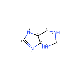 C1=NC2NCNCC2[N]1